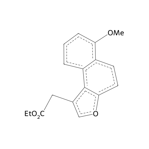 CCOC(=O)Cc1coc2ccc3c(OC)cccc3c12